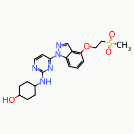 CS(=O)(=O)CCOc1cccc2c1cnn2-c1ccnc(NC2CCC(O)CC2)n1